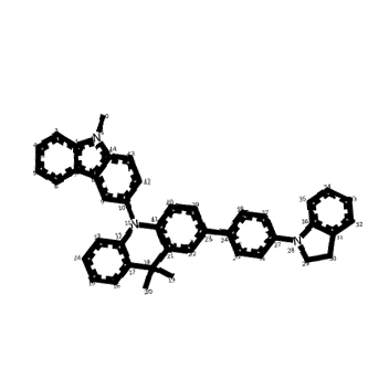 Cn1c2ccccc2c2cc(N3c4ccccc4C(C)(C)c4cc(-c5ccc(N6CCc7ccccc76)cc5)ccc43)ccc21